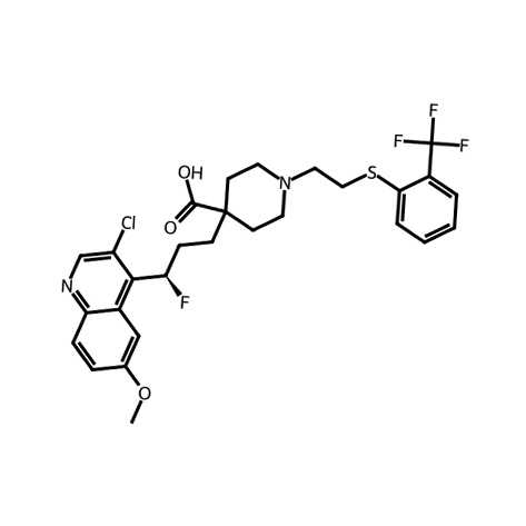 COc1ccc2ncc(Cl)c([C@H](F)CCC3(C(=O)O)CCN(CCSc4ccccc4C(F)(F)F)CC3)c2c1